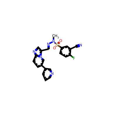 CN(N=Cc1cnc2ccc(-c3cccnc3)cn12)S(=O)(=O)c1ccc(F)c(C#N)c1